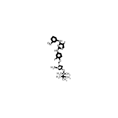 BN1C[C@H](O[Si](C)(C)C(C)(C)C)C[C@H]1COc1ccc(Nc2ncc(F)c(Nc3cccc(N=O)c3)n2)cc1F